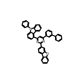 c1ccc(-c2cccc(-c3cc(-c4cccc5c4c4ccccc4n5-c4ccccc4)nc(-c4ccc5c(c4)oc4ccccc45)n3)c2)cc1